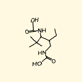 CCC(CNC(=O)O)C(NC(=O)O)C(C)(C)C